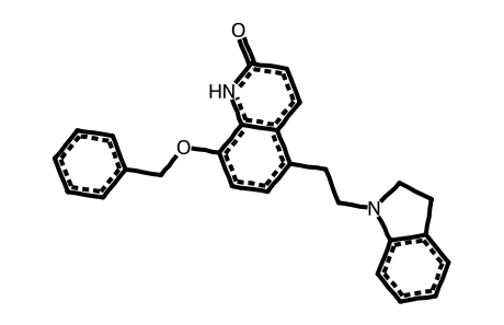 O=c1ccc2c(CCN3CCc4ccccc43)ccc(OCc3ccccc3)c2[nH]1